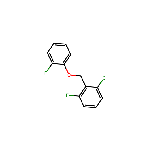 Fc1ccccc1OCc1c(F)cccc1Cl